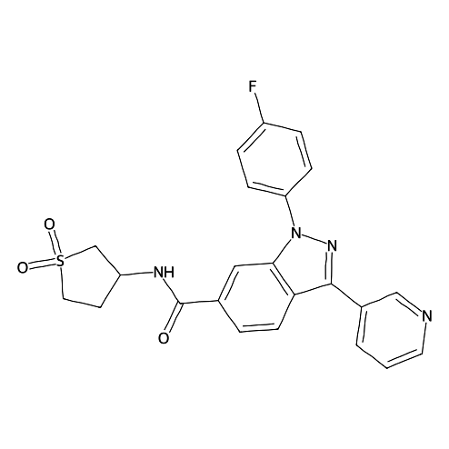 O=C(NC1CCS(=O)(=O)C1)c1ccc2c(-c3cccnc3)nn(-c3ccc(F)cc3)c2c1